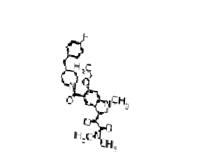 CCOc1cc2c(cc1C(=O)N1CCC(Cc3ccc(F)cc3)CC1)C(C(=O)C(=O)N(C)C)CN2C